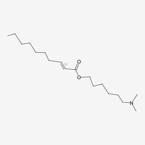 CCCCCCC/C=C/C(=O)OCCCCCCN(C)C